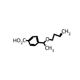 C=CCCOC(C)c1ccc(C(=O)O)cc1